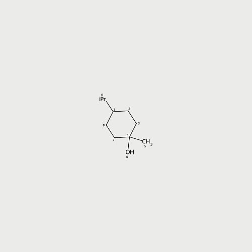 CC(C)C1CCC(C)(O)CC1